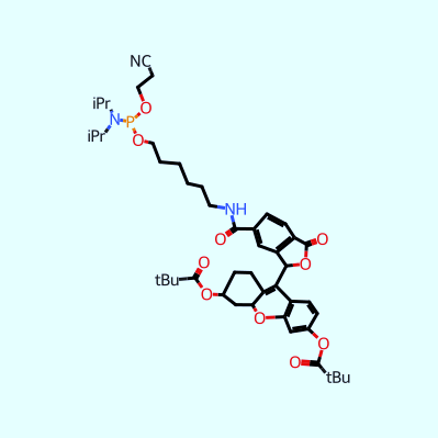 CC(C)N(C(C)C)P(OCCC#N)OCCCCCCNC(=O)c1ccc2c(c1)C(C1=C3CCC(OC(=O)C(C)(C)C)CC3Oc3cc(OC(=O)C(C)(C)C)ccc31)OC2=O